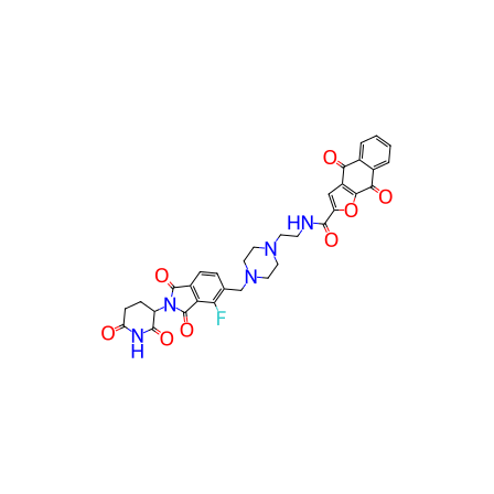 O=C1CCC(N2C(=O)c3ccc(CN4CCN(CCNC(=O)c5cc6c(o5)C(=O)c5ccccc5C6=O)CC4)c(F)c3C2=O)C(=O)N1